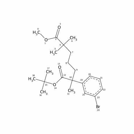 COC(=O)C(C)(C)CCCC(C)(C(=O)OC(C)(C)C)c1cccc(Br)c1